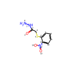 NNC(=O)CSc1ccccc1[N+](=O)[O-]